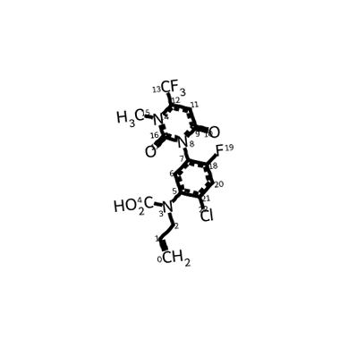 C=CCN(C(=O)O)c1cc(-n2c(=O)cc(C(F)(F)F)n(C)c2=O)c(F)cc1Cl